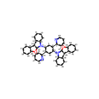 c1ccc(-c2cc(-n3c4ccccc4c4c5ccccc5oc43)c(-c3ccccn3)cc2-n2c3ccccc3c3c4ccccc4oc32)nc1